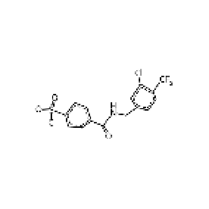 O=C(NCc1ccc(C(F)(F)F)c(Cl)c1)c1ccc(S(=O)(=O)Cl)cc1